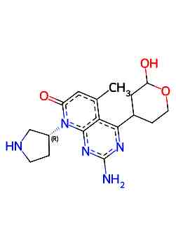 Cc1cc(=O)n([C@@H]2CCNC2)c2nc(N)nc(C3CCOC(O)C3)c12